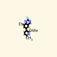 CCc1cc(-c2ccc(C)nc2OC)cc2cnc(F)nc12